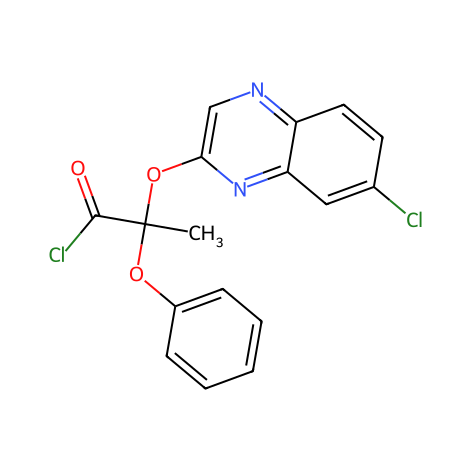 CC(Oc1ccccc1)(Oc1cnc2ccc(Cl)cc2n1)C(=O)Cl